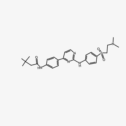 CN(C)CCS(=O)(=O)c1ccc(Nc2nccc(-c3ccc(NC(=O)CC(C)(C)C)cc3)n2)cc1